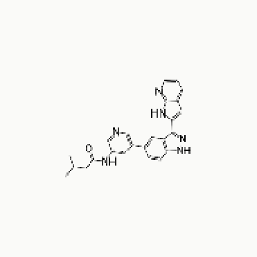 CC(C)CC(=O)Nc1cncc(-c2ccc3[nH]nc(-c4cc5cccnc5[nH]4)c3c2)c1